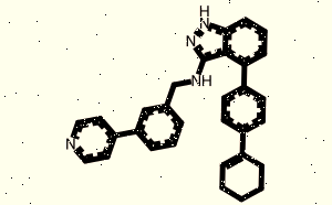 C1=C(c2ccc(-c3cccc4[nH]nc(NCc5cccc(-c6ccncc6)c5)c34)cc2)CCCC1